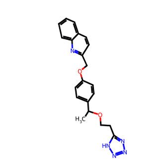 CC(OCCc1nnn[nH]1)c1ccc(OCc2ccc3ccccc3n2)cc1